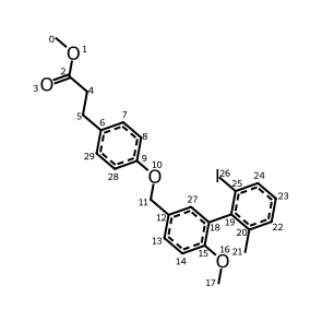 COC(=O)CCc1ccc(OCc2ccc(OC)c(-c3c(C)cccc3I)c2)cc1